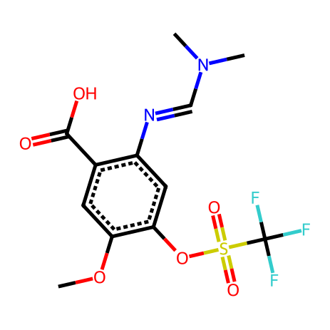 COc1cc(C(=O)O)c(N=CN(C)C)cc1OS(=O)(=O)C(F)(F)F